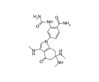 CNc1cn(-c2ccc(C(N)=O)c(NC(N)=O)c2)c2c1C(=O)CC(NC)(NC)C2